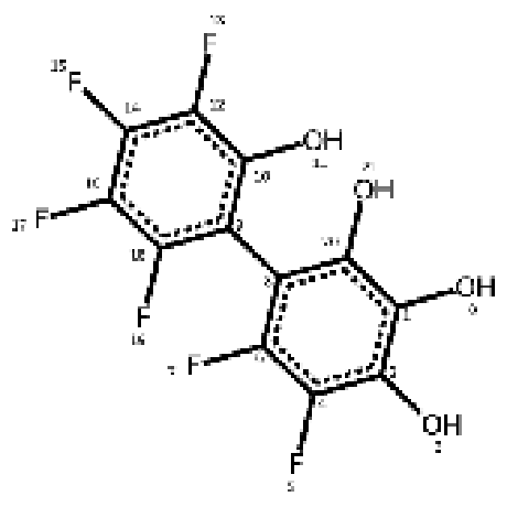 Oc1c(O)c(F)c(F)c(-c2c(O)c(F)c(F)c(F)c2F)c1O